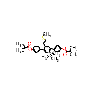 C=C(C)C(=O)Oc1ccc(-c2cc([Si](C)(C)C)c(-c3ccc(OC(=O)C(=C)C)cc3)cc2CCSC)cc1